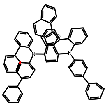 c1ccc(-c2ccc(N(c3ccccc3-c3ccccc3)c3ccc(N(c4ccc(-c5ccccc5)cc4)c4ccccc4-c4ccccc4)c4c3oc3c5ccccc5ccc34)cc2)cc1